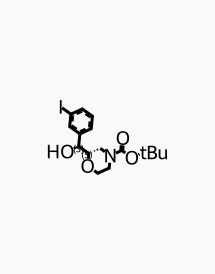 CC(C)(C)OC(=O)N1CCO[C@H]([C@@H](O)c2cccc(I)c2)C1